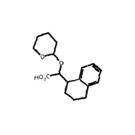 O=C(O)C(OC1CCCCO1)C1CCCc2ccccc21